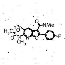 CCCc1cc2c(C(=O)NC)c(-c3ccc(F)cc3)oc2nc1N(C)S(C)(=O)=O